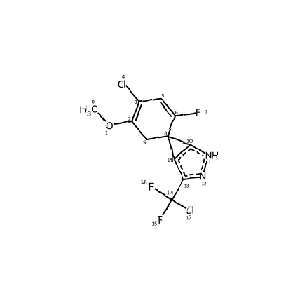 COC1=C(Cl)C=C(F)C2(C1)c1[nH]nc(C(F)(F)Cl)c12